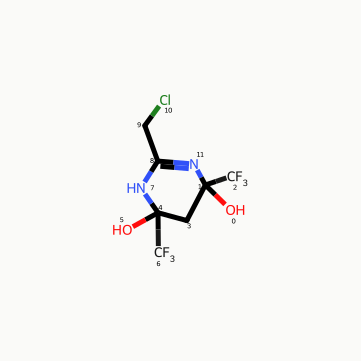 OC1(C(F)(F)F)CC(O)(C(F)(F)F)NC(CCl)=N1